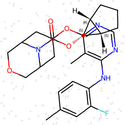 Cc1ccc(Nc2ncnc(OC3CC4COCC(C3)N4C(=O)O[C@@H]3[C@@H]4CCC[C@@H]43)c2C)c(F)c1